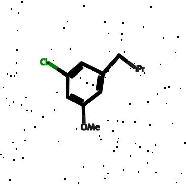 COc1cc(Cl)cc(CC(C)C)c1